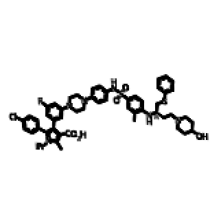 Cc1cc(S(=O)(=O)Nc2ccc(N3CCN(c4cc(F)cc(-c5c(C(=O)O)c(C)n(C(C)C)c5-c5ccc(Cl)cc5)c4)CC3)cc2)ccc1N[C@H](CCN1CCC(O)CC1)CSc1ccccc1